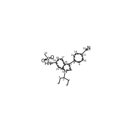 CCC(CC)n1cc(-c2ccc(C#N)cc2)c2ccc(NS(C)(=O)=O)cc21